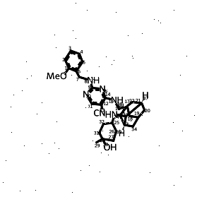 COc1ccccc1CNc1ncc(C#N)c(NC[C@]23CC4C[C@H](C2)[C@H](NC2CCC(C)(O)CC2)[C@@H](C4)C3)n1